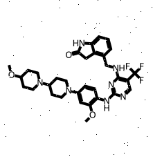 COc1cc(N2CCC(N3CCC(OC)CC3)CC2)ccc1Nc1ncc(C(F)(F)F)c(NCc2cccc3c2CC(=O)N3)n1